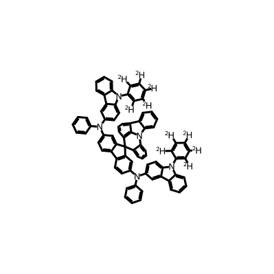 [2H]c1c([2H])c([2H])c(-n2c3ccccc3c3cc(N(c4ccccc4)c4ccc5c(c4)C4(c6cc(N(c7ccccc7)c7ccc8c(c7)c7ccccc7n8-c7c([2H])c([2H])c([2H])c([2H])c7[2H])ccc6-5)c5ccccc5-n5c6ccccc6c6cccc4c65)ccc32)c([2H])c1[2H]